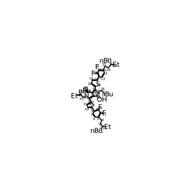 CCCCC(CC)CCc1ccc(-c2ccc(C3=C4C(=C(c5ccc(-c6ccc(CCC(CC)CCCC)c(F)c6F)s5)N(CC(C)CC)C4O)C(=O)N3CC(CC)CCCC)s2)c(F)c1F